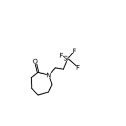 O=C1CCCCCN1CC[Si](F)(F)F